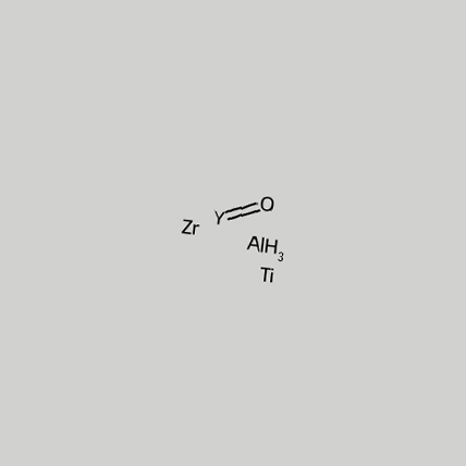 [AlH3].[O]=[Y].[Ti].[Zr]